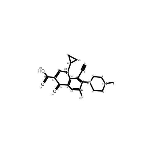 C#Cc1c(N2CCN(C)CC2)c(F)cc2c(=O)c(C(=O)O)cn(C3CC3)c12